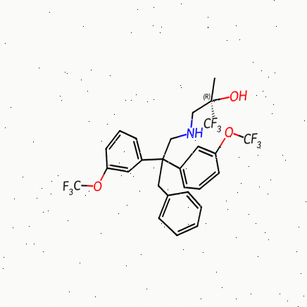 C[C@@](O)(CNCC(Cc1ccccc1)(c1cccc(OC(F)(F)F)c1)c1cccc(OC(F)(F)F)c1)C(F)(F)F